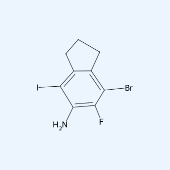 Nc1c(F)c(Br)c2c(c1I)CCC2